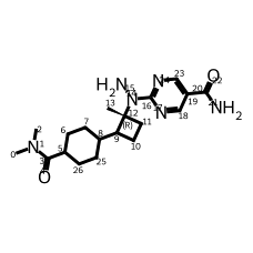 CN(C)C(=O)C1CCC(C2CC[C@@]2(C)N(N)c2ncc(C(N)=O)cn2)CC1